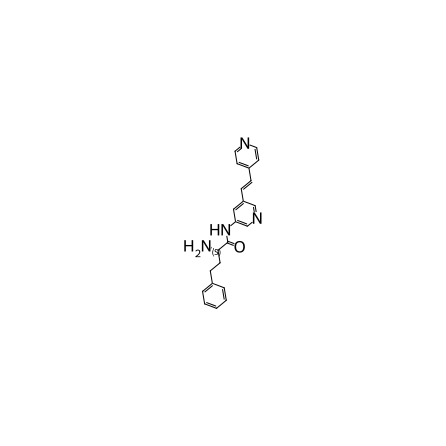 N[C@@H](CCc1ccccc1)C(=O)Nc1cncc(C=Cc2ccncc2)c1